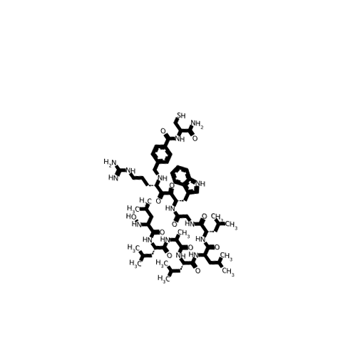 CC(C)CC(NO)C(=O)N[C@@H](CC(C)C)C(=O)NC(C)C(=O)N[C@@H](CC(C)C)C(=O)NC(CC(C)C)C(=O)N[C@@H](CC(C)C)C(=O)NCC(=O)N[C@@H](Cc1c[nH]c2ccccc12)C(=O)C(=O)[C@H](CCCNC(=N)N)NCc1ccc(C(=O)NC(CS)C(N)=O)cc1